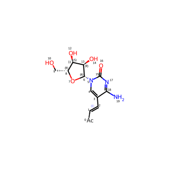 CC(=O)/C=C/c1cn([C@@H]2O[C@H](CO)[C@@H](O)[C@H]2O)c(=O)nc1N